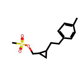 Cc1ccc(CCC2CC2COS(C)(=O)=O)cc1